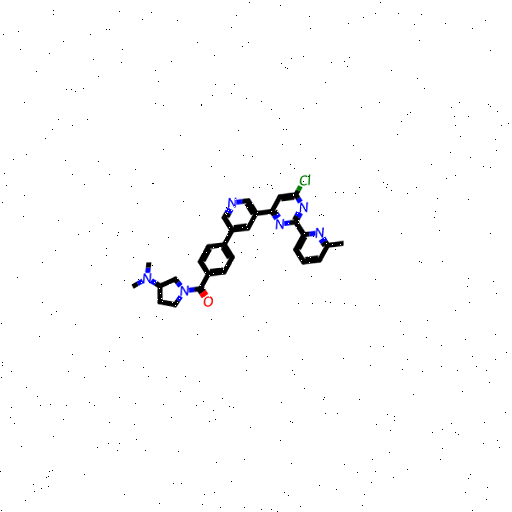 Cc1cccc(-c2nc(Cl)cc(-c3cncc(-c4ccc(C(=O)N5CCC(N(C)C)C5)cc4)c3)n2)n1